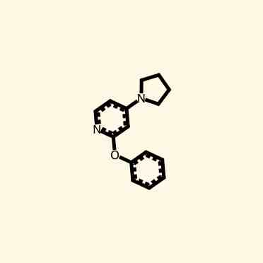 c1ccc(Oc2cc(N3CCCC3)ccn2)cc1